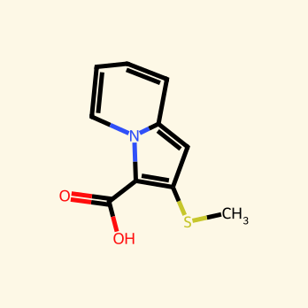 CSc1cc2ccccn2c1C(=O)O